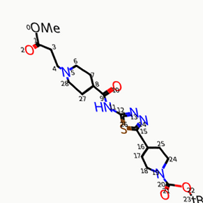 COC(=O)CCN1CCC(C(=O)Nc2nnc(C3CCN(C(=O)OC(C)(C)C)CC3)s2)CC1